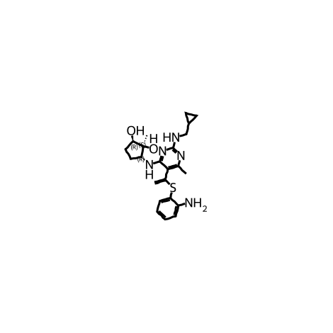 C=C(Sc1ccccc1N)c1c(C)nc(NCC2CC2)nc1N[C@@H]1CC[C@@H](O)[C@@]1(C)O